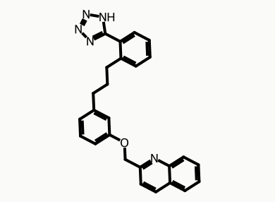 c1cc(CCCc2ccccc2-c2nnn[nH]2)cc(OCc2ccc3ccccc3n2)c1